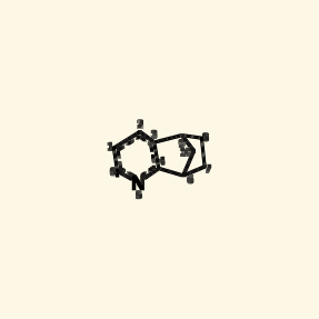 [c]1ccc2c(n1)C1CCC2C1